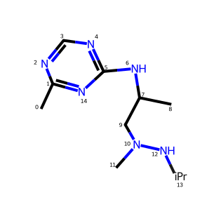 Cc1ncnc(NC(C)CN(C)NC(C)C)n1